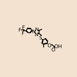 Cc1cc(SCc2nn(-c3ccc(C(F)(F)F)cc3)nc2C)ccc1OCC(=O)O